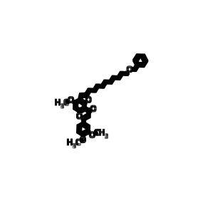 COc1ccc(-c2cc(=O)c3c(cc(OC)c4cc(CCCCCCCCCCOCc5ccccc5)oc43)o2)cc1OC